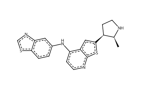 C[C@@H]1NCC[C@@H]1c1cc2c(Nc3ccc4scnc4c3)ccnc2s1